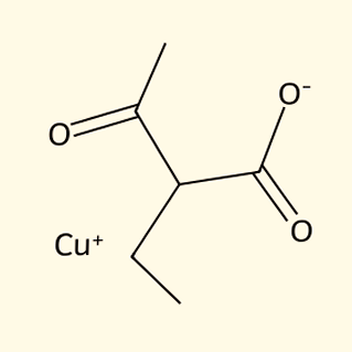 CCC(C(C)=O)C(=O)[O-].[Cu+]